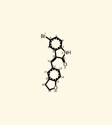 O=C1Nc2ccc(Br)cc2/C1=C/c1ccc2c(c1)CCO2